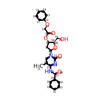 Cc1cn([C@H]2CC(OC(=O)COc3ccccc3)[C@@H](CO)O2)c(=O)nc1NC(=O)c1ccccc1